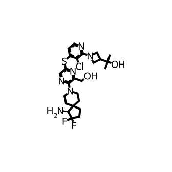 CC(C)(O)C1CN(c2nccc(Sc3cnc(N4CCC5(CC4)CCC(F)(F)[C@H]5N)c(CO)n3)c2Cl)C1